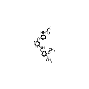 COc1ccc(CNc2cc(Oc3cccc(NC(=O)CCl)c3)ncn2)cc1OC